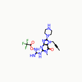 CC#CCn1c(N2CCNCC2)nc2nc(NC(=N)NOC(=O)C(F)(F)F)n(C)c(=O)c21